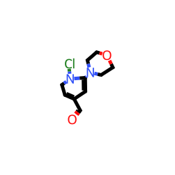 O=CC1=CCN(Cl)C(N2CCOCC2)=C1